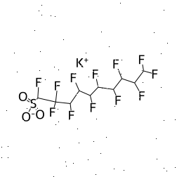 O=S(=O)([O-])C(F)C(F)(F)C(F)C(F)C(F)C(F)C(F)C(F)C(F)C(F)F.[K+]